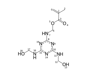 C=C(C)C(=O)OCNc1nc(NCO)nc(NCO)n1